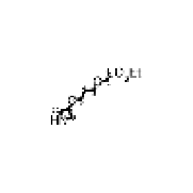 CCOC(=O)COCCCOC1CNC1